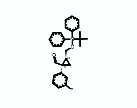 CC(C)(C)[Si](OC[C@H]1C[C@]1(C=O)c1cccc(F)c1)(c1ccccc1)c1ccccc1